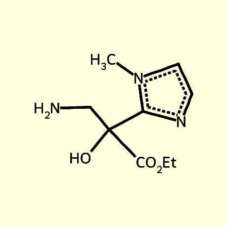 CCOC(=O)C(O)(CN)c1nccn1C